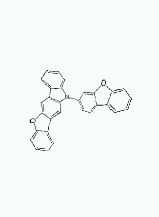 c1ccc2c(c1)oc1cc(-n3c4ccccc4c4cc5oc6ccccc6c5cc43)ccc12